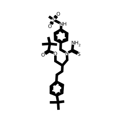 CC(C)(C)C(=O)OCC(CCc1ccc(C(C)(C)C)cc1)CN(Cc1ccc(NS(C)(=O)=O)cc1)C(N)=S